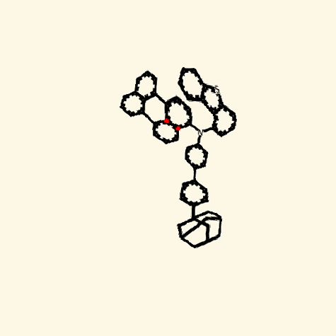 c1ccc(-c2cccc3cccc(-c4ccc(N(c5ccc(-c6ccc(C78CC9CC(CC(C9)C7)C8)cc6)cc5)c5cccc6sc7ccccc7c56)cc4)c23)cc1